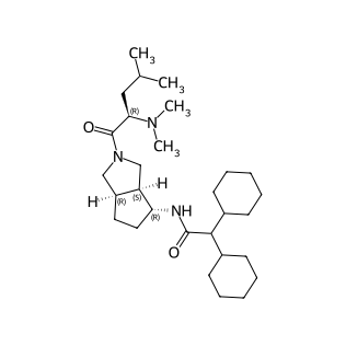 CC(C)C[C@H](C(=O)N1C[C@@H]2CC[C@@H](NC(=O)C(C3CCCCC3)C3CCCCC3)[C@@H]2C1)N(C)C